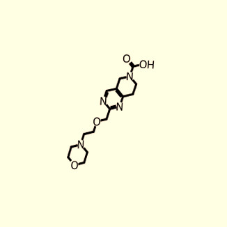 O=C(O)N1CCc2nc(COCCN3CCOCC3)ncc2C1